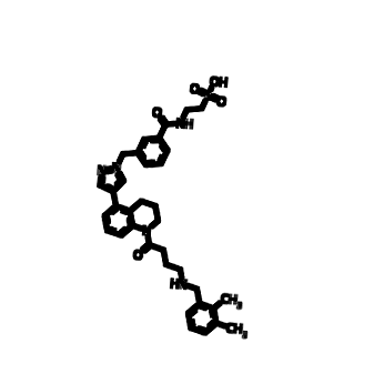 Cc1cccc(CNCCCC(=O)N2CCCc3c(-c4cnn(Cc5cccc(C(=O)NCCS(=O)(=O)O)c5)c4)cccc32)c1C